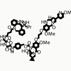 COc1ccc(C2=CN3C(=O)c4cc(OC)c(OCCCOc5cc6c(cc5OC)C(=O)N5CC7(CC7)C[C@H]5C(O)N6C(=O)OCc5ccc(NC(=O)[C@H](C)NC(=O)[C@@H](NC(=O)CCC(=O)N6Cc7ccccc7C7=C(NNN7C(C)C)c7ccccc76)C(C)C)cc5)cc4NC[C@@H]3C2)cn1